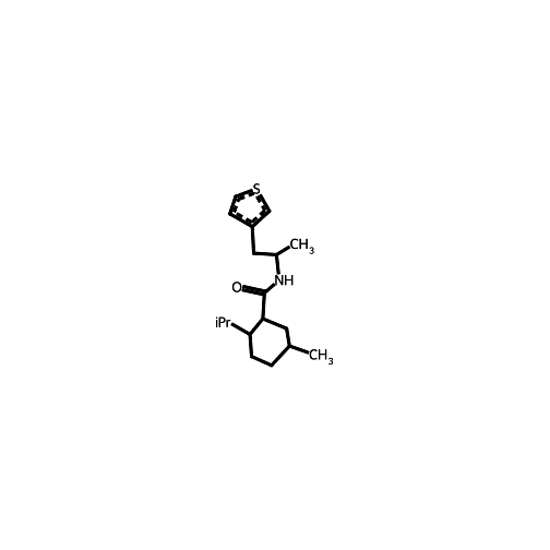 CC1CCC(C(C)C)C(C(=O)NC(C)Cc2ccsc2)C1